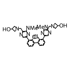 CNc1nc(-c2cccc(-c3cccc(-c4cnc(CN5CC(O)C5)c(NC)n4)c3Cl)c2Cl)cnc1CN1CC(O)C1